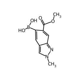 COC(=O)c1cc2nn(C)cc2cc1B(O)O